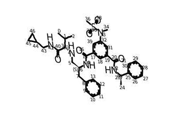 CC(C)[C@H](NC[C@H](Cc1ccccc1)NC(=O)c1cc(C(=O)N[C@H](C)c2ccccc2)cc(N(C)S(C)(=O)=O)c1)C(=O)NCC1CC1